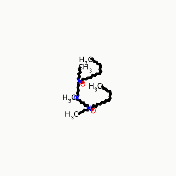 CCCCC/C=C\C/C=C\CCCCCCCC(=O)N(CCCCCC)CCCCCCN(C)CCCCCCN(CCCCCC)C(=O)CCCCCCC/C=C\C/C=C\CCCCC